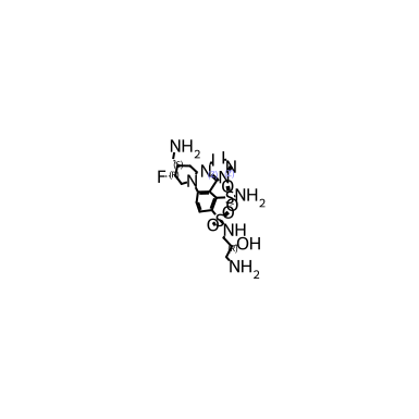 NC[C@@H](O)CNS(=O)(=O)c1ccc(N2CC[C@@H](CN)[C@@H](F)C2)c(C(/N=N\I)=N/I)c1S(N)(=O)=O